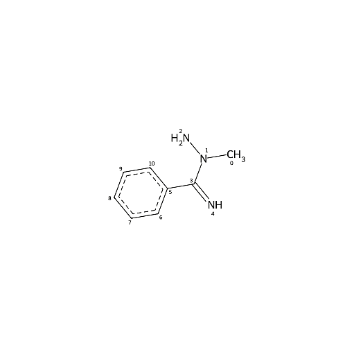 CN(N)C(=N)c1ccccc1